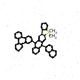 CS1(C)c2ccccc2C2C=c3c(-c4ccc5c6ccccc6c6ccccc6c5c4)c4ccccc4c(-c4ccc5ccccc5c4)c3=CC21